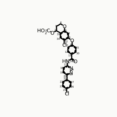 O=C(O)OC1CCOc2cc(Oc3ccc(C(=O)Nc4ccc(-c5ccc(Cl)cc5)nn4)cc3)c(Cl)cc21